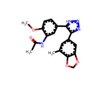 COc1ccc(-c2[nH]nnc2-c2cc(C)c3c(c2)OCO3)cc1NC(C)=O